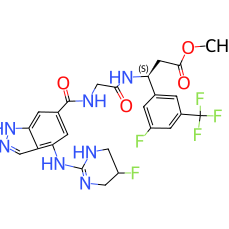 COC(=O)C[C@H](NC(=O)CNC(=O)c1cc(NC2=NCC(F)CN2)c2cn[nH]c2c1)c1cc(F)cc(C(F)(F)F)c1